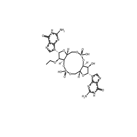 CCO[C@@H]1[C@@H]2OP(=O)(O)OC[C@H]3O[C@@H](n4cnc5c(=O)[nH]c(N)nc54)[C@H](O)[C@@H]3OP(=O)(O)OC[C@H]2O[C@H]1n1cnc2c(=O)[nH]c(N)nc21